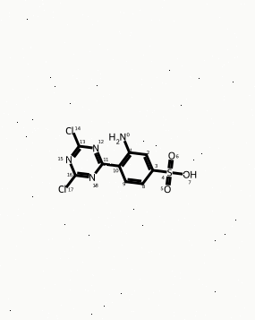 Nc1cc(S(=O)(=O)O)ccc1-c1nc(Cl)nc(Cl)n1